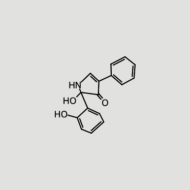 O=C1C(c2ccccc2)=CNC1(O)c1ccccc1O